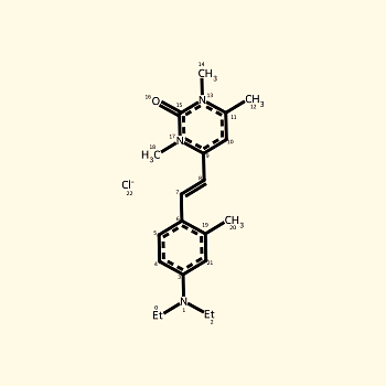 CCN(CC)c1ccc(C=Cc2cc(C)n(C)c(=O)[n+]2C)c(C)c1.[Cl-]